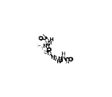 COc1cc(-c2cnc(Nc3cnc4ccccc4c3)nc2N)ccc1OCCN1CCN(c2nccc(Nc3cnc4ccccc4c3)n2)CC1